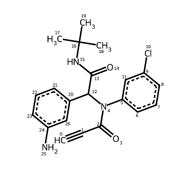 C#CC(=O)N(c1cccc(Cl)c1)C(C(=O)NC(C)(C)C)c1cccc(N)c1